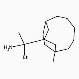 CCC(C)(N)C1CC2CCCCCC(C)(CC2)C1